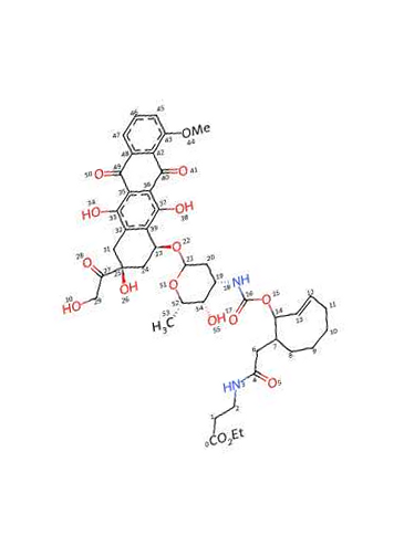 CCOC(=O)CCNC(=O)CC1CCCC/C=C/C1OC(=O)N[C@H]1CC(O[C@H]2C[C@](O)(C(=O)CO)Cc3c(O)c4c(c(O)c32)C(=O)c2c(OC)cccc2C4=O)O[C@@H](C)[C@H]1O